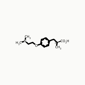 C[C@@H](Cc1ccc(OCCN(C)C)cc1)C(=O)O